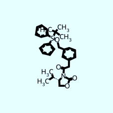 CC(C)[C@H]1COC(=O)N1C(=O)Cc1cccc(CO[Si](c2ccccc2)(c2ccccc2)C(C)(C)C)c1